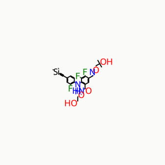 CC(C)(O)CO/N=C/c1cc(C(=O)NOCCO)c(Nc2ccc(C#C[Si](C)(C)C)cc2F)c(F)c1F